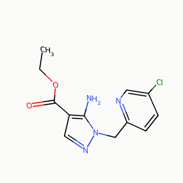 CCOC(=O)c1cnn(Cc2ccc(Cl)cn2)c1N